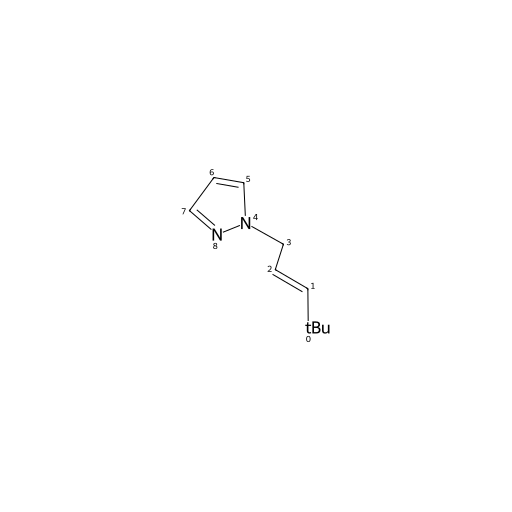 CC(C)(C)/C=C/Cn1cccn1